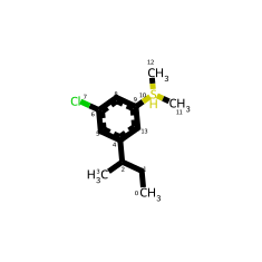 CCC(C)c1cc(Cl)cc([SH](C)C)c1